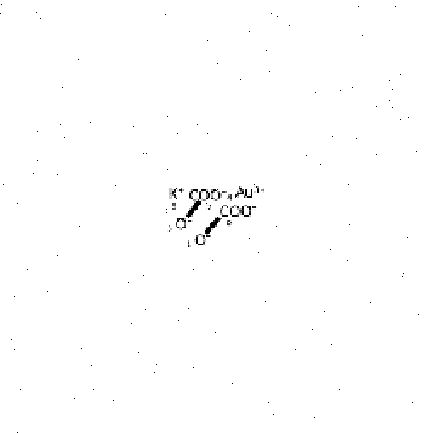 O=C([O-])[O-].O=C([O-])[O-].[Au+3].[K+]